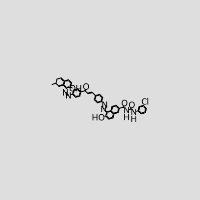 CC1C=c2c(/N=N\c3ccc(C(=O)C=Cc4ccc(N=Nc5c(O)ccc6cc(C(=O)NC(=O)Nc7cccc(Cl)c7)ccc56)cc4)cc3)c(O)ccc2=CC1